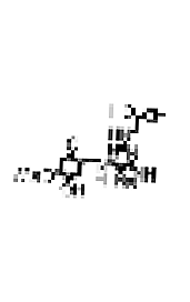 COc1cc(O)c(CNc2nc(NCC(C)O)nc3[nH]nnc23)cc1O